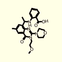 COCCn1c(N2CCOCC2)nc2c(C(C)Nc3ccccc3C(=O)O)cc(C)cc2c1=O